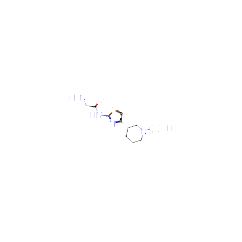 NCC(=O)Nc1nc([C@@H]2CCCN(C(=O)O)C2)cs1